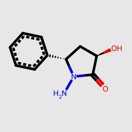 NN1C(=O)[C@H](O)C[C@H]1c1ccccc1